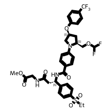 CCS(=O)(=O)c1ccc([C@H](CC(=O)NCC(=O)OC)NC(=O)c2ccc(N3C[C@@H](Oc4ccc(C(F)(F)F)cc4)C[C@H]3COC(F)F)cc2)cc1